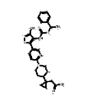 Cc1noc(-c2ccc(N3CCC(C4(CC(=O)O)CC4)CC3)nc2)c1NC(=O)OC(C)c1ccccc1